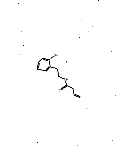 C=CCC(=O)NCCc1ccccc1O